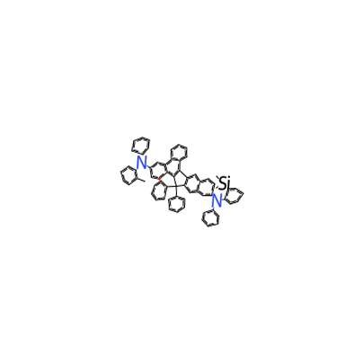 Cc1ccccc1N(c1ccccc1)c1ccc2c3c(c4ccccc4c2c1)-c1cc2ccc(N(c4ccccc4)c4ccccc4[Si](C)(C)C)cc2cc1C3(c1ccccc1)c1ccccc1